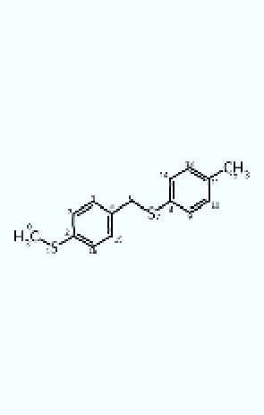 CSc1ccc(CSc2ccc(C)cc2)cc1